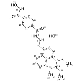 CCC(c1ccc(CNNC(=O)c2ccc(C(=O)NO)cc2)c2ccccc12)N(CC)CC.Cl